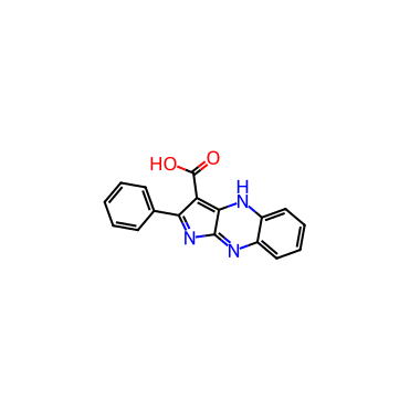 O=C(O)c1c(-c2ccccc2)nc2nc3ccccc3[nH]c1-2